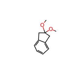 COC1(OC)Cc2ccccc2C1